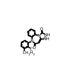 Cc1cccc(N2C(=O)C=C3NNC(=O)N3c3ccccc32)c1C